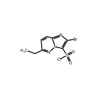 CCc1ccc2nc(Br)c(S(=O)(=O)Cl)n2n1